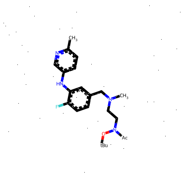 CC(=O)N(CCN(C)Cc1ccc(F)c(Nc2ccc(C)nc2)c1)OC(C)(C)C